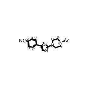 CC(=O)N1CCN(c2ncc(-c3ccc(C#N)cc3)s2)CC1